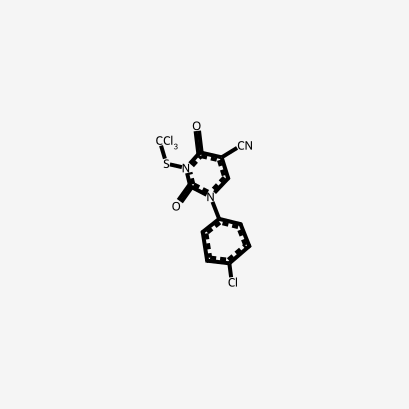 N#Cc1cn(-c2ccc(Cl)cc2)c(=O)n(SC(Cl)(Cl)Cl)c1=O